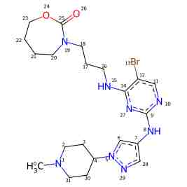 CN1CCC(n2cc(Nc3ncc(Br)c(NCCCN4CCCCOC4=O)n3)cn2)CC1